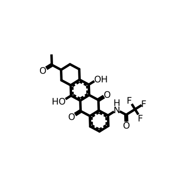 CC(=O)C1CCc2c(O)c3c(c(O)c2C1)C(=O)c1cccc(NC(=O)C(F)(F)F)c1C3=O